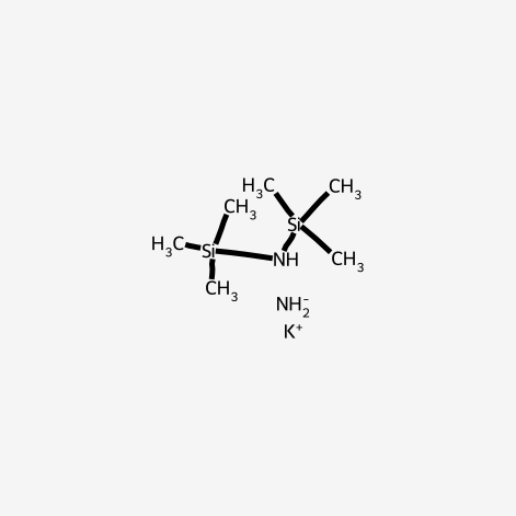 C[Si](C)(C)N[Si](C)(C)C.[K+].[NH2-]